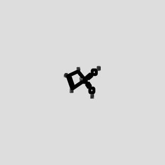 O=S1(=O)C=CC1